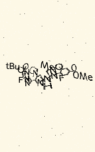 COC(=O)c1cc(F)c(-c2nccc(Nc3cc(N4CCC[C@H](NC(=O)OC(C)(C)C)C4)c(-c4cnn(C(F)F)c4)cn3)n2)c(OC)c1